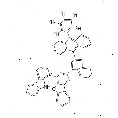 [2H]c1c([2H])c([2H])c(-c2c3ccccc3c(-c3cc(-c4cc(-c5cccc6c5[nH]c5ccccc56)c5oc6ccccc6c5c4)c4ccccc4c3)c3ccccc23)c([2H])c1[2H]